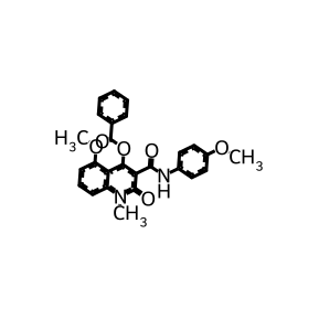 COc1ccc(NC(=O)c2c(OC(=O)c3ccccc3)c3c(OC)cccc3n(C)c2=O)cc1